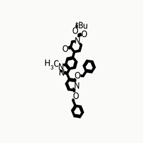 Cn1nc(-c2ccc(OCc3ccccc3)nc2OCc2ccccc2)c2ccc(C3CCN(C(=O)OC(C)(C)C)CC3=O)cc21